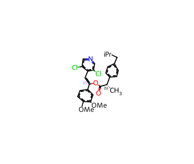 COc1ccc(/C(=C/c2c(Cl)cncc2Cl)OC(=O)[C@@H](C)c2ccc(CC(C)C)cc2)cc1OC